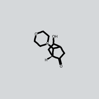 O=C1CC2C(O)C[C@@H]1C2N1CCOCC1